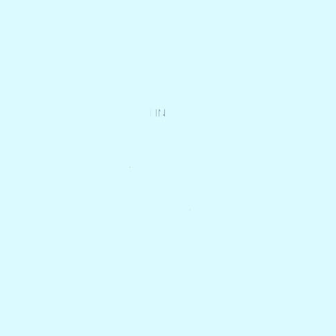 C=C(NC(C)C)c1ccc(C(C)C)cc1C